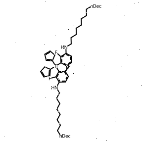 CCCCCCCCCCCCCCCCCCNc1ccc(F)[c]([Ti]([C]2=CC=CC2)([C]2=CC=CC2)[c]2c(F)ccc(NCCCCCCCCCCCCCCCCCC)c2F)c1F